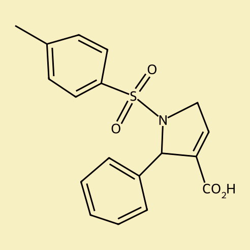 Cc1ccc(S(=O)(=O)N2CC=C(C(=O)O)C2c2ccccc2)cc1